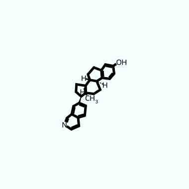 C[C@]12CC[C@@H]3c4ccc(O)cc4CC[C@H]3[C@@H]1CC[C@@H]2c1ccc2ccncc2c1